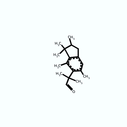 Cc1cc2c(c(C)c1C(C)(C)C=O)C(C)(C)C(C)C2